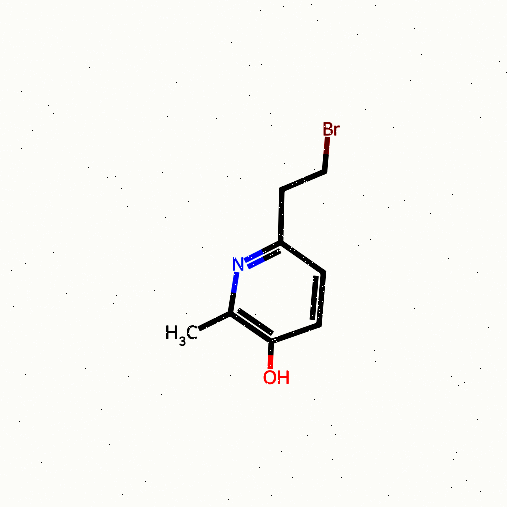 Cc1nc(CCBr)ccc1O